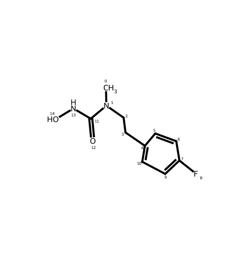 CN(CCc1ccc(F)cc1)C(=O)NO